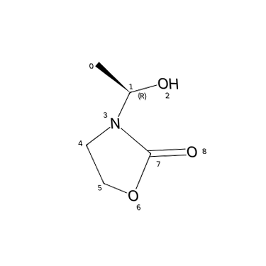 C[C@@H](O)N1CCOC1=O